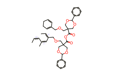 C\C=C/C(C)=C\C(=C/C)COCC1(C(=O)OC(=O)C2(COCC3=CCCC=C3)COC(c3ccccc3)OC2)COC(c2ccccc2)OC1